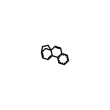 C1=CC23CCC(=CC=C2c2ccccc21)C3